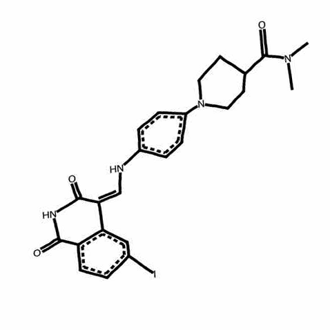 CN(C)C(=O)C1CCN(c2ccc(NC=C3C(=O)NC(=O)c4ccc(I)cc43)cc2)CC1